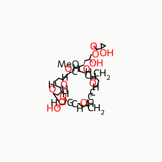 C=C1C[C@@H]2CC[C@]34C[C@@H](O)[C@H](O3)C3C[C@@H](O4)[C@H]4O[C@H](CC[C@@H]4O3)CC(=O)C[C@@H]3[C@@H](OC)[C@@H](C[C@H](O)COC(=O)C4(O)CC4)O[C@H]3C[C@H]3O[C@H](CCC3=C)CC[C@@H]1O2